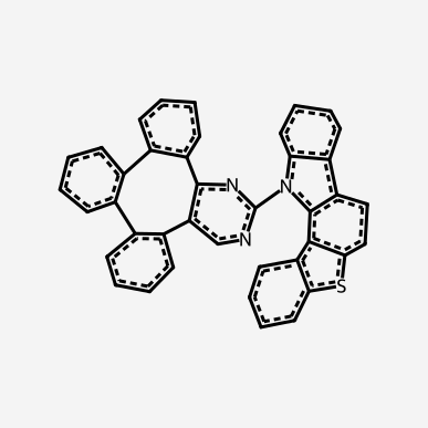 c1ccc2c(c1)-c1ccccc1-c1cnc(-n3c4ccccc4c4ccc5sc6ccccc6c5c43)nc1-c1ccccc1-2